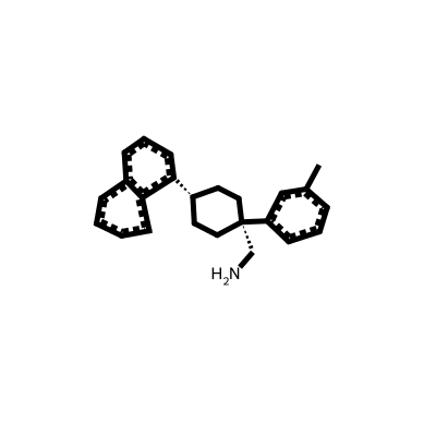 Cc1cccc([C@]2(CN)CC[C@@H](c3cccc4ccccc43)CC2)c1